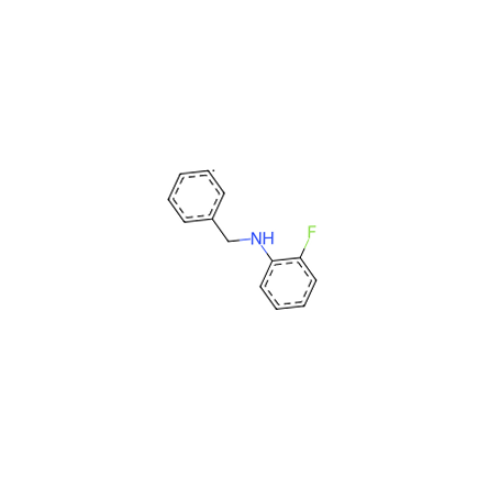 Fc1ccccc1NCc1c[c]ccc1